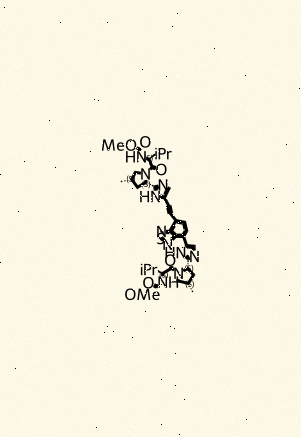 COC(=O)N[C@H](C(=O)N1C[C@@H](C)C[C@H]1c1ncc(C#Cc2ccc(-c3cnc([C@@H]4C[C@H](C)CN4C(=O)[C@@H](NC(=O)OC)C(C)C)[nH]3)c3nsnc23)[nH]1)C(C)C